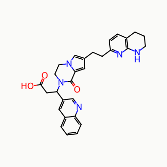 O=C(O)CC(c1cnc2ccccc2c1)N1CCn2cc(CCc3ccc4c(n3)NCCC4)cc2C1=O